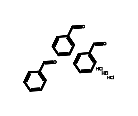 Cl.Cl.Cl.O=Cc1ccccc1.O=Cc1ccccc1.O=Cc1ccccc1